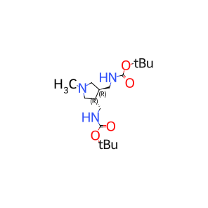 CN1C[C@@H](CNC(=O)OC(C)(C)C)[C@H](CNC(=O)OC(C)(C)C)C1